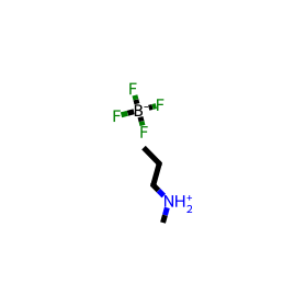 CCC[NH2+]C.F[B-](F)(F)F